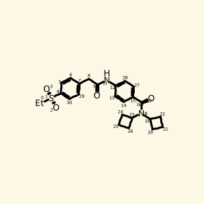 CCS(=O)(=O)c1ccc(CC(=O)Nc2ccc(C(=O)N(C3CCC3)C3CCC3)cc2)cc1